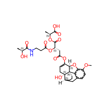 COc1ccc2c3c1O[C@@H]1C(OC(=O)C[C@H](OC(=O)CCNC(=O)[C@H](C)O)C(=O)O[C@@H](C)C(=O)O)=CC[C@]4(O)[C@@H](CCC[C@@]314)C2